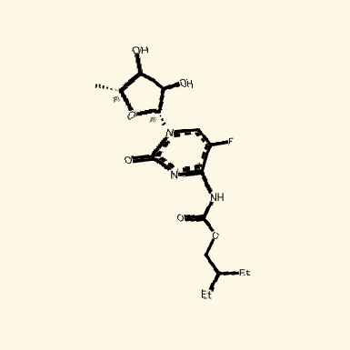 CCC(CC)COC(=O)Nc1nc(=O)n([C@@H]2O[C@H](C)C(O)C2O)cc1F